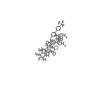 [2H]c1c([2H])c(C([2H])([2H])Sc2nc(=O)c3c(n2C([2H])([2H])C(=O)N(CCN(C([2H])([2H])C)C([2H])([2H])C)Cc2ccc(-c4ccc(C(F)(F)F)cc4)cc2)CCC3)c([2H])c([2H])c1F